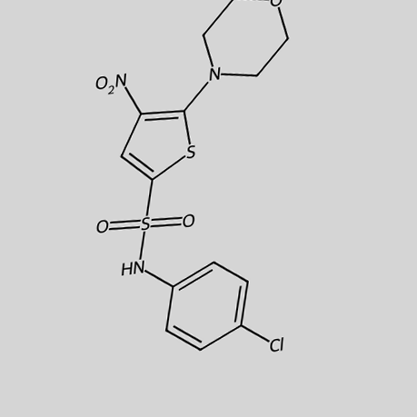 O=[N+]([O-])c1cc(S(=O)(=O)Nc2ccc(Cl)cc2)sc1N1CCOCC1